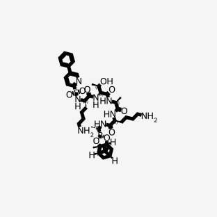 C[C@H](NC(=O)[C@H](CCCCN)NC(=O)[C@H](C)NC(=O)[C@@H](NC(=O)[C@H](CCCCN)NS(=O)(=O)c1ccc(-c2ccccc2)cn1)[C@@H](C)O)B1O[C@@H]2C[C@@H]3C[C@@H](C3(C)C)[C@]2(C)O1